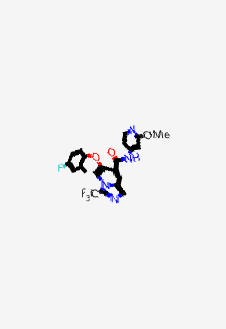 COc1cc(NC(=O)c2cc3cnc(C(F)(F)F)n3cc2Oc2ccc(F)cc2C)ccn1